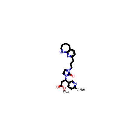 COc1ccc(C(CC(=O)OC(C)(C)C)n2ccn(CCCc3ccc4c(n3)NCCCC4)c2=O)cn1